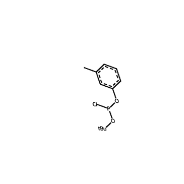 Cc1cccc(OP(Cl)OC(C)(C)C)c1